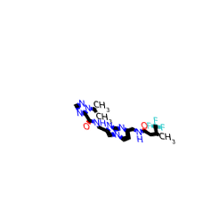 CC(C)n1ncnc1C(=O)NCc1cn2ccc(CNC(=O)CC(C)C(F)(F)F)nc2n1